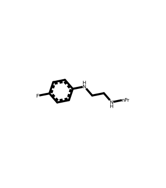 CCCNCCNc1ccc(F)cc1